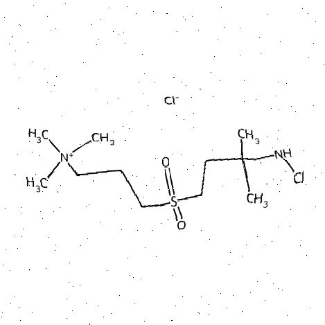 CC(C)(CCS(=O)(=O)CCC[N+](C)(C)C)NCl.[Cl-]